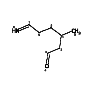 CC(CC=O)CCC=N